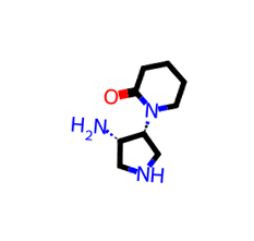 N[C@H]1CNC[C@H]1N1CCCCC1=O